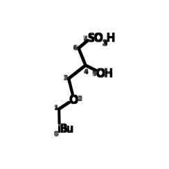 CCC(C)COCC(O)CS(=O)(=O)O